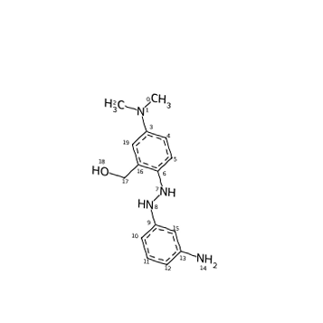 CN(C)c1ccc(NNc2cccc(N)c2)c(CO)c1